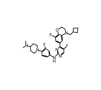 CN(C)C1CCN(c2ccc(Nc3ncc(F)c(-c4cc(F)c5c(c4)N(CC4CCC4)CCO5)n3)cc2F)CC1